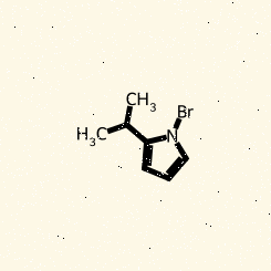 CC(C)c1cccn1Br